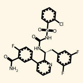 NC(=O)c1cc(-c2cccnc2[C@@H](Cc2cc(F)cc(F)c2)NC(=O)NS(=O)(=O)c2ccccc2Cl)ccc1F